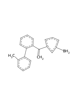 Bc1cccc(C(=C)c2ccccc2-c2ccccc2C)c1